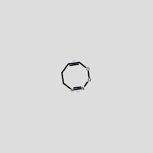 C1=C\OO/N=N\CC/1